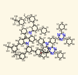 CC(C)(C)c1cc(-c2ccc3c(c2)N(c2cc(-c4ccccc4)cc(-c4ccccc4)c2)c2cc(-c4ccc5c(c4)c4ccccc4n5-c4ccc(-c5nc(-c6ccccc6)nc(-c6ccccc6)n5)cc4-c4nc(-c5ccccc5)nc(-c5ccccc5)n4)cc4c2B3c2ccc(-c3cc(C(C)(C)C)cc(C(C)(C)C)c3)cc2N4c2cc(-c3ccccc3)cc(-c3ccccc3)c2)cc(C(C)(C)C)c1